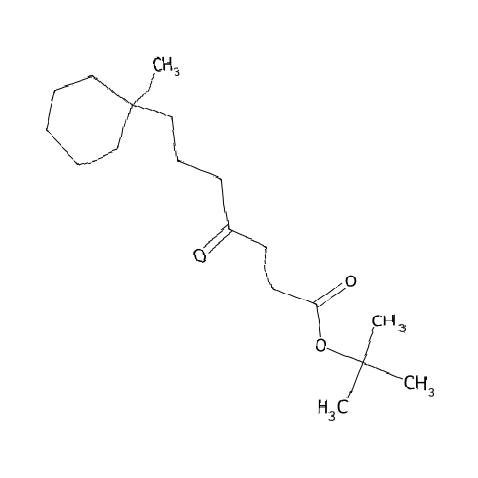 CC1(CCCC(=O)CCC(=O)OC(C)(C)C)CCCCC1